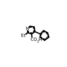 CCc1nccc(-c2ccccc2)c1C(=O)O